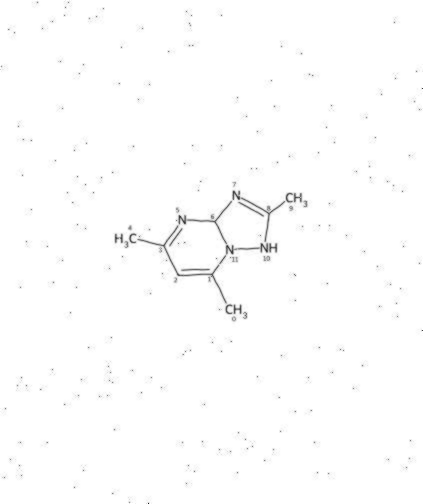 CC1=CC(C)=NC2N=C(C)NN12